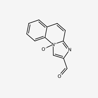 O=CC1=C[N+]2([O-])C(=N1)C=Cc1ccccc12